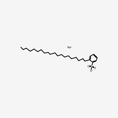 CCCCCCCCCCCCCCCCCCCCc1ccccc1S(=O)(=O)[O-].[Na+]